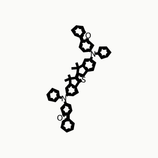 CC1(C)c2cc(N(c3ccccc3)c3ccc4c(c3)oc3ccccc34)ccc2-c2sc3c(c21)C(C)(C)c1cc(N(c2ccccc2)c2ccc4c(c2)oc2ccccc24)ccc1-3